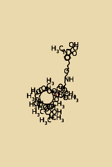 CC[C@H]1OC(=O)[C@H](C)[C@@H](O[C@H]2C[C@@](C)(OC)[C@@H](OC(=O)CCNCCOCCCc3ccc4c(c3)c(=O)c(C(=O)O)cn4CC)[C@H](C)O2)[C@H](C)[C@@H](O[C@H]2O[C@@H](C)C[C@H](N(C)C)[C@H]2O)[C@](C)(O)C[C@@H](C)/C(=N\O)[C@@H](C)[C@@H](O)[C@]1(C)O